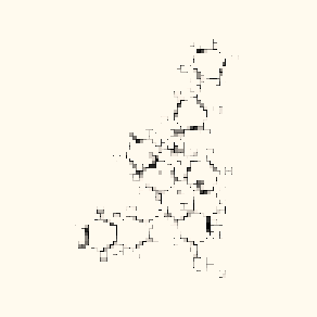 Cc1cc(N(c2ccccc2)c2ccc3ccccc3c2)c2c(c1)sc1ccc(N(c3ccccc3)c3ccc(-c4ccccc4)cc3)cc12